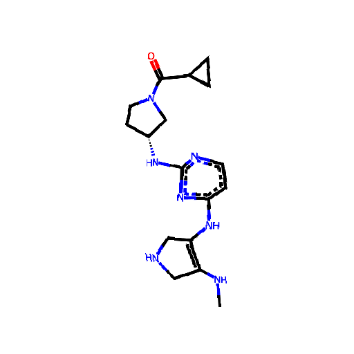 CNC1=C(Nc2ccnc(N[C@@H]3CCN(C(=O)C4CC4)C3)n2)CNC1